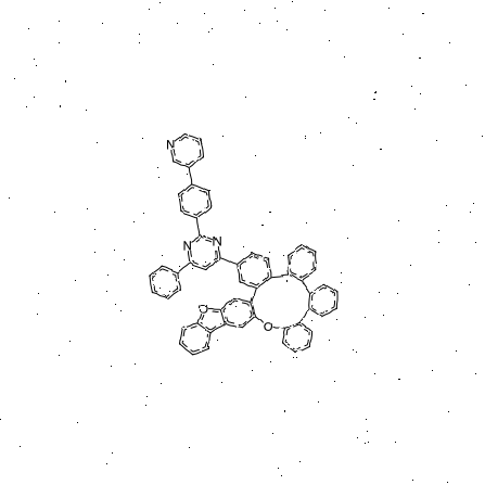 c1ccc(-c2cc(-c3ccc4c(c3)-c3cc5oc6ccccc6c5cc3Oc3ccccc3-c3ccccc3-c3ccccc3-4)nc(-c3ccc(-c4cccnc4)cc3)n2)cc1